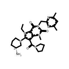 CCn1c(N2CCC[C@@H](N)C2)c(C(=O)N2CCCC2)c2c1c(=O)n(Cc1nc(C)cc(C)n1)c(=O)n2C